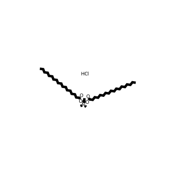 CCCCCCCCCCCCCCCCCC(=O)OC(C)(OC(=O)CCCCCCCCCCCCCCCCC)N(C)C.Cl